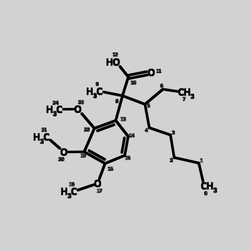 CCCCCC(CC)C(C)(C(=O)O)c1ccc(OC)c(OC)c1OC